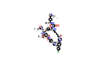 Cc1ncsc1-c1ccc([C@H](C)NC(=O)[C@@H]2C[C@@H](O)CN2C(=O)[C@@H](NCCCCCCCC(=O)N2CCN(C[C@]3(C)CCC(c4ccc(Cl)cc4)=C(CN4CCN(c5ccc(C(=O)NS(=O)(=O)c6ccc(N[C@H](CCN7CCOC(C)C7)CSc7ccccc7)c(S(=O)(=O)C(F)(F)F)c6)cc5)CC4)C3)CC2)C(C)(C)C)cc1